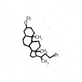 CCOC1CCC2(C)C(CCC3C2CCC2(C)C(C(C)CCC(C)C)CCC32)C1